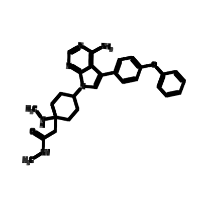 CNC(=O)CC1(NC)CCC(n2cc(-c3ccc(Oc4ccccc4)cc3)c3c(N)ncnc32)CC1